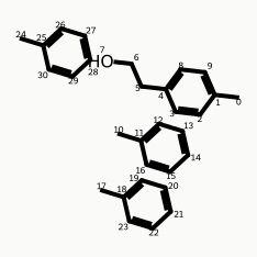 Cc1ccc(CCO)cc1.Cc1ccccc1.Cc1ccccc1.Cc1ccccc1